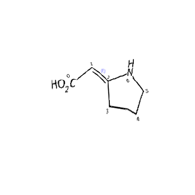 O=C(O)/C=C1\CCCN1